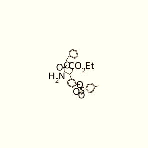 CCOC(=O)CC(c1cccc(OS(=O)(=O)c2ccc(C)cc2)c1)C(N)C(=O)OCc1ccccc1